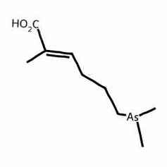 CC(=CCCC[As](C)C)C(=O)O